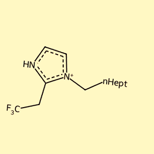 CCCCCCCC[n+]1cc[nH]c1CC(F)(F)F